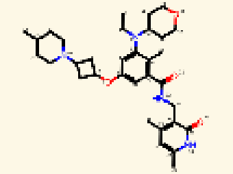 CCN(c1cc(OC2CC(N3CCC(C)CC3)C2)cc(C(=O)NCc2c(C)cc(C)[nH]c2=O)c1C)C1CCOCC1